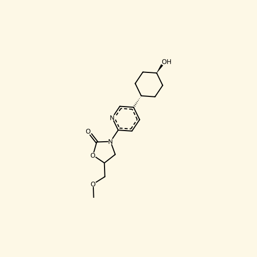 COCC1CN(c2ccc([C@H]3CC[C@H](O)CC3)cn2)C(=O)O1